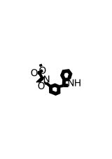 COC(=O)c1coc(-c2cccc(-c3c[nH]c4ccccc34)c2)n1